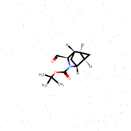 CC(C)(C)OC(=O)N1[C@@H]2C[C@@H]([C@H]3C[C@H]32)[C@@H]1C=O